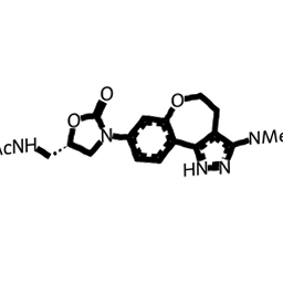 CNc1n[nH]c2c1CCOc1cc(N3C[C@H](CNC(C)=O)OC3=O)ccc1-2